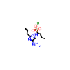 C=CCc1nc(N)c[nH]1.CCCCS(=O)(=O)OF